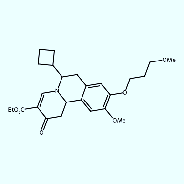 CCOC(=O)C1=CN2C(CC1=O)c1cc(OC)c(OCCCOC)cc1CC2C1CCC1